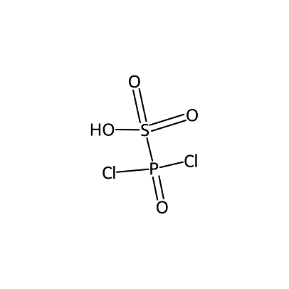 O=P(Cl)(Cl)S(=O)(=O)O